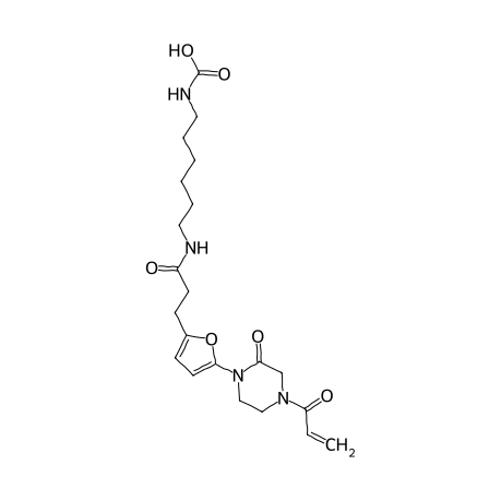 C=CC(=O)N1CCN(c2ccc(CCC(=O)NCCCCCCNC(=O)O)o2)C(=O)C1